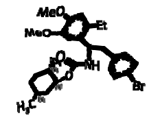 CCc1cc(OC)c(OC)cc1C(Cc1ccc(Br)cc1)NC(=O)O[C@H]1C[C@@H](C)CC[C@@H]1C(C)C